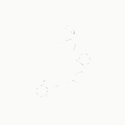 O=C(C=Cc1cccc(C=CC(=O)N2CCN(c3ncccn3)CC2)n1)NO